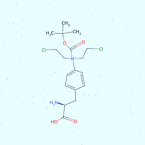 CC(C)(C)OC(=O)[N+](CCCl)(CCCl)c1ccc(C[C@H](N)C(=O)O)cc1